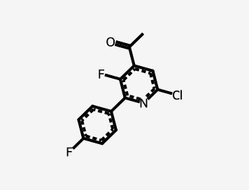 CC(=O)c1cc(Cl)nc(-c2ccc(F)cc2)c1F